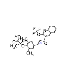 Cc1cc(/C=C/C(=O)c2cc3ccccc3nc2OC(F)(F)F)cc(C)c1OC(C)(C)C(=O)O